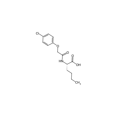 CCCC[C@H](NC(=O)COc1ccc(Cl)cc1)C(=O)O